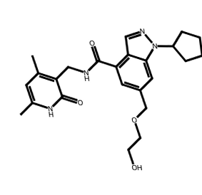 Cc1cc(C)c(CNC(=O)c2cc(COCCO)cc3c2cnn3C2CCCC2)c(=O)[nH]1